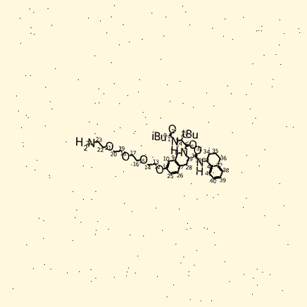 CC[C@@H](C)C(=O)N[C@H](C(=O)N1Cc2cc(OCCOCCOCCOCCN)ccc2C[C@H]1C(=O)N[C@@H]1CCCc2ccccc21)C(C)(C)C